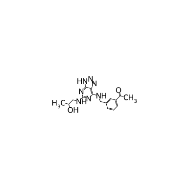 CC(=O)c1cccc(CNc2nc(NCC(C)O)nc3[nH]nnc23)c1